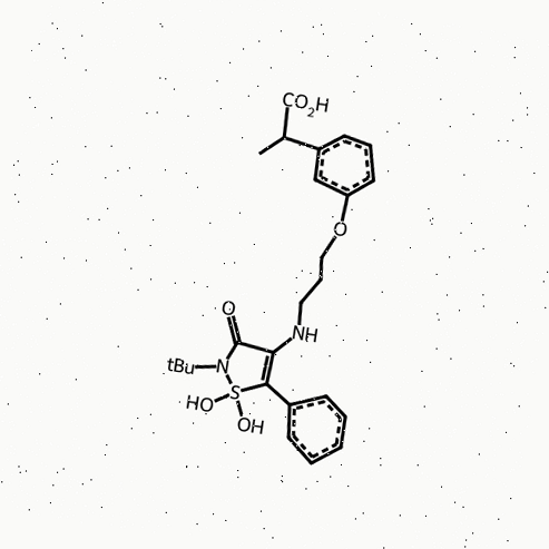 CC(C(=O)O)c1cccc(OCCCNC2=C(c3ccccc3)S(O)(O)N(C(C)(C)C)C2=O)c1